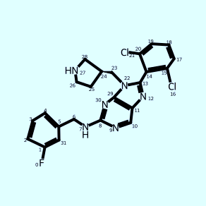 Fc1cccc(CNc2ncc3nc(-c4c(Cl)cccc4Cl)n(C[C@H]4CCNC4)c3n2)c1